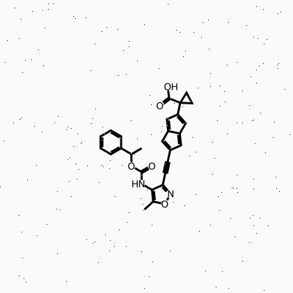 Cc1onc(C#CC2=CC3=CC(C4(C(=O)O)CC4)=CC3=C2)c1NC(=O)OC(C)c1ccccc1